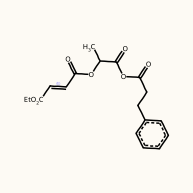 CCOC(=O)/C=C/C(=O)OC(C)C(=O)OC(=O)CCc1ccccc1